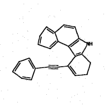 C(#Cc1ccccc1)C1=CCCc2[nH]c3ccc4ccccc4c3c21